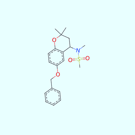 CN(C1CC(C)(C)Oc2ccc(OCc3ccccc3)cc21)S(C)(=O)=O